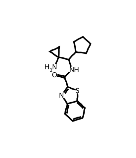 NC1(C(NC(=O)c2nc3ccccc3s2)C2CCCC2)CC1